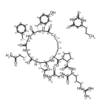 CCCc1cc(=O)[nH]c(=S)[nH]1.N=C(N)NCCC[C@H](NC(=O)[C@@H]1CCCN1C(=O)[C@@H]1CSSCCC(=O)N[C@@H](Cc2ccc(O)cc2)C(=O)N[C@@H](Cc2ccccc2)C(=O)N[C@@H](CCC(N)=O)C(=O)N[C@@H](CC(N)=O)C(=O)N1)C(=O)NCC(N)=O